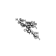 CNC[C@@H](O)COc1ccc(Cl)c(-c2nc(/C(C(C)=N)=C(\C)O)c(C)c(N3CC4(CCN(C(=O)N(C)C)C4)C3)n2)c1